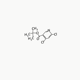 CC(C)(C)OC(=O)c1cnc(Cl)cc1Cl